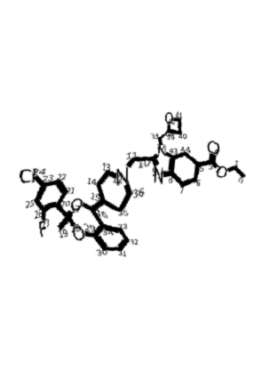 CCOC(=O)C1CCc2nc(CN3CCC(C4OC(C)(c5ccc(Cl)cc5F)Oc5ccccc54)CC3)n(C[C@@H]3CCO3)c2C1